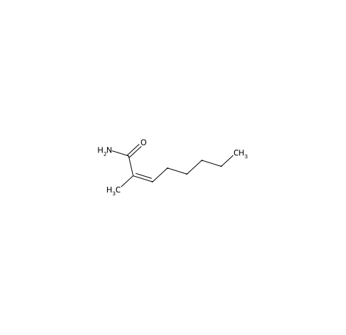 CCCCCC=C(C)C(N)=O